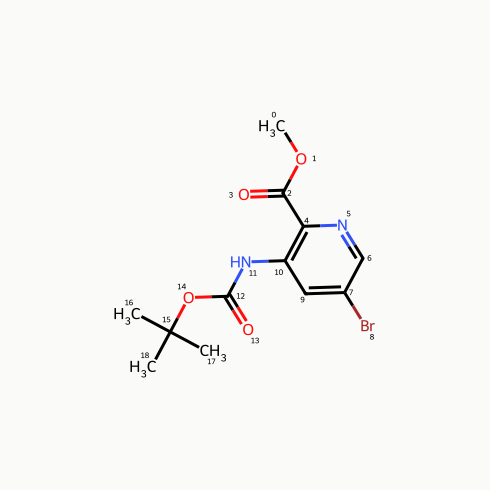 COC(=O)c1ncc(Br)cc1NC(=O)OC(C)(C)C